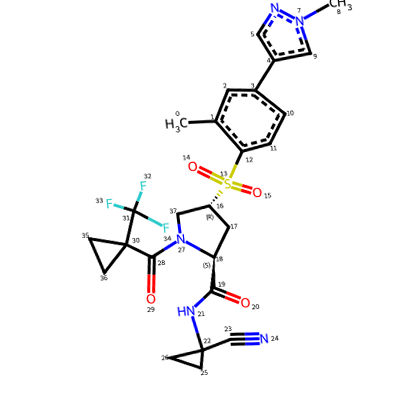 Cc1cc(-c2cnn(C)c2)ccc1S(=O)(=O)[C@@H]1C[C@@H](C(=O)NC2(C#N)CC2)N(C(=O)C2(C(F)(F)F)CC2)C1